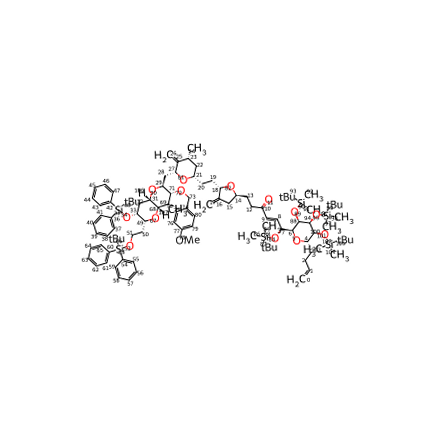 C=CCC[C@@H]1O[C@@H](C(C=CC(=O)CC[C@H]2CC(=C)[C@H](CC[C@H]3C[C@@H](C)C(=C)[C@@H](C[C@@H]4O[C@H]5C[C@@H](O[Si](c6ccccc6)(c6ccccc6)C(C)(C)C)[C@@H](CCO[Si](c6ccccc6)(c6ccccc6)C(C)(C)C)O[C@H]5[C@H](C)[C@H]4OCc4ccc(OC)cc4)O3)O2)O[Si](C)(C)C(C)(C)C)[C@@H](O[Si](C)(C)C(C)(C)C)[C@@H](O[Si](C)(C)C(C)(C)C)[C@H]1O[Si](C)(C)C(C)(C)C